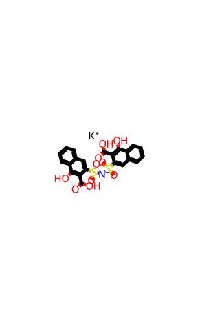 O=C(O)c1c(S(=O)(=O)[N-]S(=O)(=O)c2cc3ccccc3c(O)c2C(=O)O)cc2ccccc2c1O.[K+]